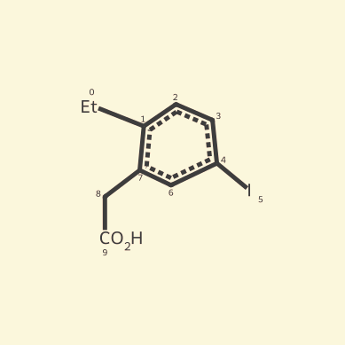 CCc1ccc(I)cc1CC(=O)O